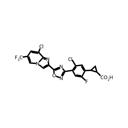 O=C(O)C1CC1c1cc(Cl)c(-c2noc(-c3cn4cc(C(F)(F)F)cc(Cl)c4n3)n2)cc1F